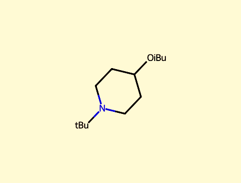 CC(C)COC1CCN(C(C)(C)C)CC1